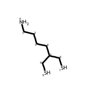 NCCCCC(CS)CS